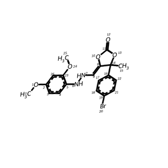 COc1ccc(NNC=C2OC(=O)OC2(C)c2ccc(Br)cc2)c(OC)c1